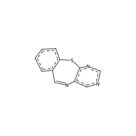 C1=Nc2cncnc2Sc2ccccc21